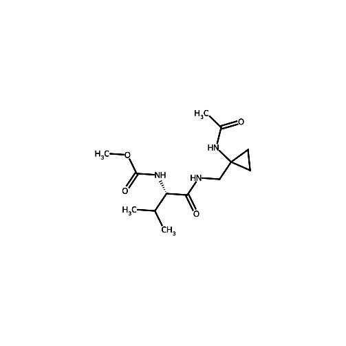 COC(=O)N[C@H](C(=O)NCC1(NC(C)=O)CC1)C(C)C